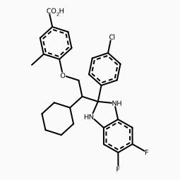 Cc1cc(C(=O)O)ccc1OCC(C1CCCCC1)C1(c2ccc(Cl)cc2)Nc2cc(F)c(F)cc2N1